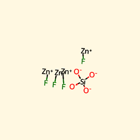 [F][Zn+].[F][Zn+].[F][Zn+].[F][Zn+].[O-][Si]([O-])([O-])[O-]